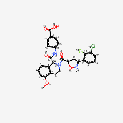 COc1cccc2c1CCN(C(=O)C1CC(c3cccc(Cl)c3F)=NO1)[C@H]2C(=O)Nc1ccc(C(=O)O)cc1